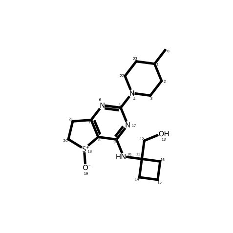 CC1CCN(c2nc3c(c(NC4(CO)CCC4)n2)[S+]([O-])CC3)CC1